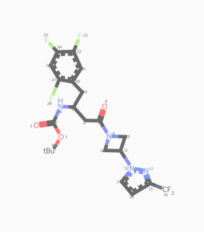 CC(C)(C)OC(=O)NC(CC(=O)N1CC(n2ccc(C(F)(F)F)n2)C1)Cc1cc(F)c(F)cc1F